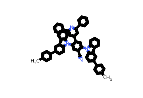 Cc1ccc(-c2ccc3c(c2)c2ccccc2n3-c2cc(-c3cc(-c4ccccc4)nc(-c4ccccc4)c3)c(-n3c4ccccc4c4cc(-c5ccc(C)cc5)ccc43)cc2C#N)cc1